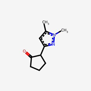 Cc1cc(C2CCCC2=O)nn1C